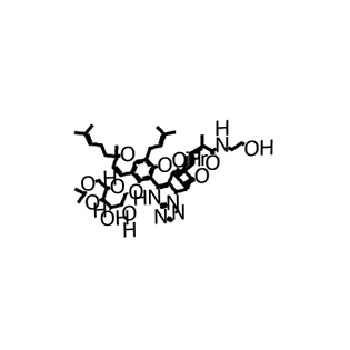 CC(C)=CCCC1(C)C=Cc2c(c(CC=C(C)C)c3c(c2O[C@H]2O[C@H]4COC(C)(C)O[C@@H]4[C@@H](O)[C@@H]2O)C2=C4C(C5CC(C(C)C)C4(O3)C(O)(C/C=C(/C)C(=O)NCCO)C5=O)n3ncnc3N2)O1